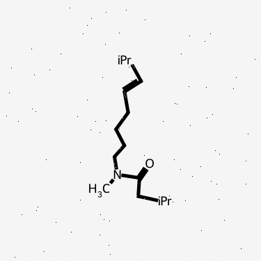 CC(C)C=CCCCCN(C)C(=O)CC(C)C